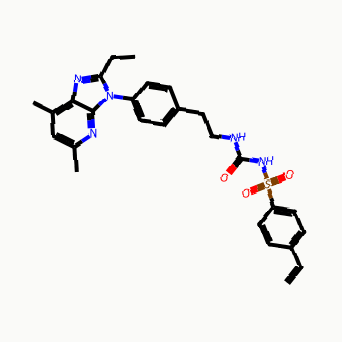 C=Cc1ccc(S(=O)(=O)NC(=O)NCCc2ccc(-n3c(CC)nc4c(C)cc(C)nc43)cc2)cc1